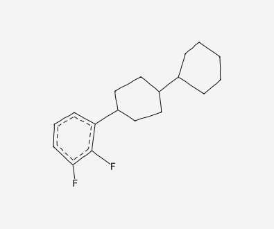 Fc1cccc(C2CCC(C3CCCCC3)CC2)c1F